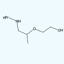 CCCNCC(C)OCCO